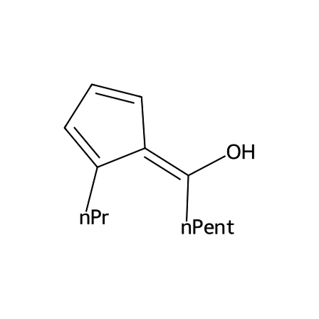 CCCCCC(O)=C1C=CC=C1CCC